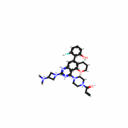 C=CC(=O)N1CCN(c2nc(N3CC(N(C)C)C3)nc3cc(-c4c(O)cccc4F)c4c(c23)OCCC4)CC1